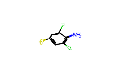 Nc1c(Cl)cc(S)cc1Cl